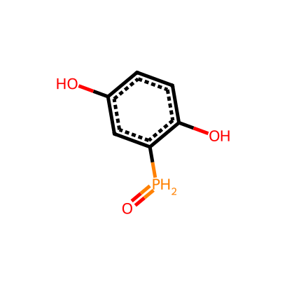 O=[PH2]c1cc(O)ccc1O